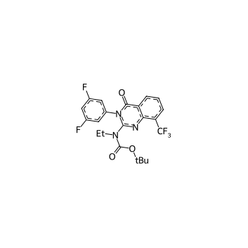 CCN(C(=O)OC(C)(C)C)c1nc2c(C(F)(F)F)cccc2c(=O)n1-c1cc(F)cc(F)c1